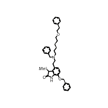 CSC1C(=O)Nc2c(OCc3ccccc3)ccc(CCN(CCCCCCOCCc3ccccc3)Cc3ccccc3)c21